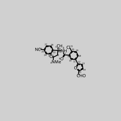 CNC(=O)C[C@@](C)(NC(=O)c1cc(-c2ccc(C=O)o2)ccc1Cl)c1ccc(C#N)cc1